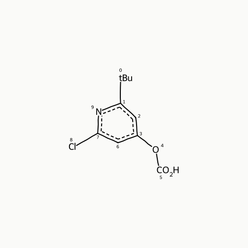 CC(C)(C)c1cc(OC(=O)O)cc(Cl)n1